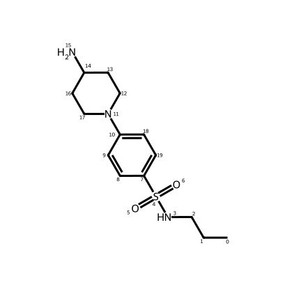 CCCNS(=O)(=O)c1ccc(N2CCC(N)CC2)cc1